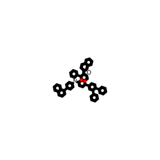 c1ccc(-c2ccc(-c3ccc(N(c4ccc(-c5cccc6ccccc56)cc4)c4ccccc4-c4cccc5oc6c7ccccc7ccc6c45)cc3)cc2-c2ccccc2)cc1